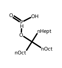 CCCCCCCCC(CCCCCCC)(CCCCCCCC)O[PH](=O)O